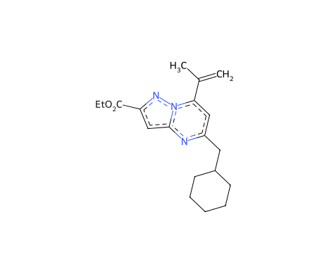 C=C(C)c1cc(CC2CCCCC2)nc2cc(C(=O)OCC)nn12